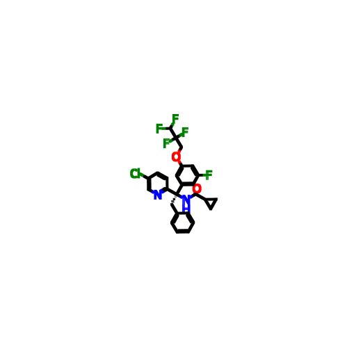 O=C(N[C@](Cc1ccccc1)(c1cc(F)cc(OCC(F)(F)C(F)F)c1)c1ccc(Cl)cn1)C1CC1